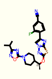 CC(C)c1noc(N2CCC([C@H](C)Oc3nn4cc(-c5ccc(C#N)cc5F)nc4s3)CC2)n1